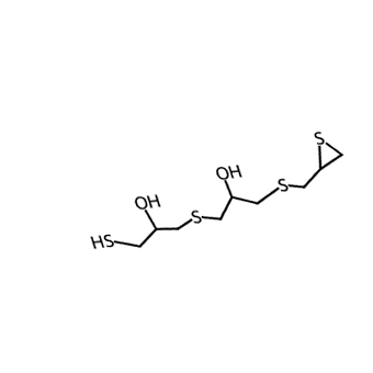 OC(CS)CSCC(O)CSCC1CS1